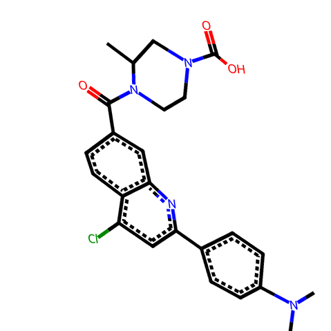 CC1CN(C(=O)O)CCN1C(=O)c1ccc2c(Cl)cc(-c3ccc(N(C)C)cc3)nc2c1